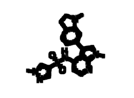 CN1CCc2ccc(-c3cn(C)c4nccc(NS(=O)(=O)c5cnn(C)c5)c34)cc21